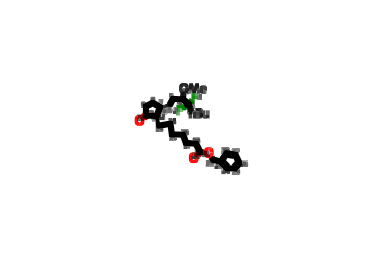 CCCCC(F)(F)C(CC[C@H]1CCC(=O)[C@@H]1CCCCCCC(=O)OCc1ccccc1)OC